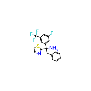 NC(Cc1ccccc1)(c1cc(F)cc(C(F)(F)F)c1)c1nccs1